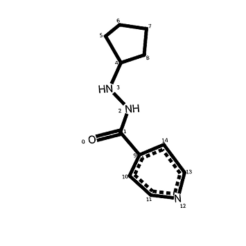 O=C(NNC1CCCC1)c1ccncc1